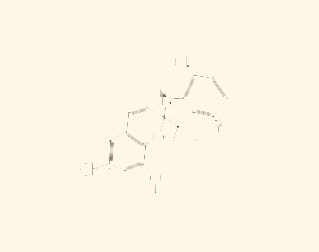 COc1cc(Cl)cc2c1OC1(C=C2)N(C)c2c(Cl)ccc(Cl)c2C1(C)C